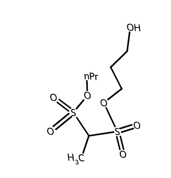 CCCOS(=O)(=O)C(C)S(=O)(=O)OCCCO